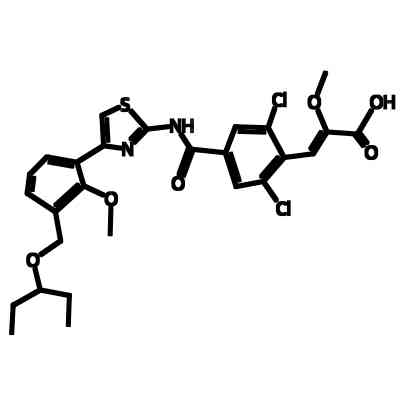 CCC(CC)OCc1cccc(-c2csc(NC(=O)c3cc(Cl)c(C=C(OC)C(=O)O)c(Cl)c3)n2)c1OC